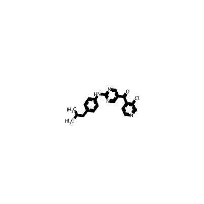 CC(C)Cc1ccc(Nc2ncc(C(=O)c3ccncc3Cl)cn2)cc1